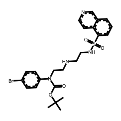 CC(C)(C)OC(=O)N(CCNCCNS(=O)(=O)c1cccc2cnccc12)c1ccc(Br)cc1